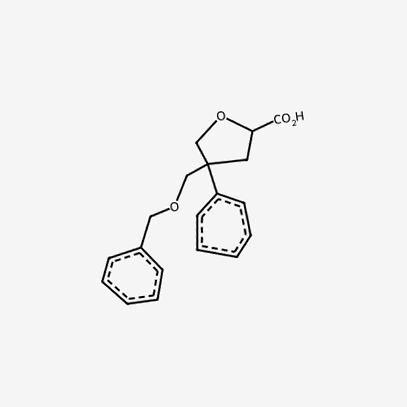 O=C(O)C1CC(COCc2ccccc2)(c2ccccc2)CO1